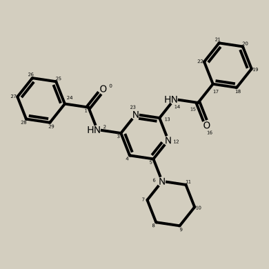 O=C(Nc1cc(N2CCCCC2)nc(NC(=O)c2ccccc2)n1)c1ccccc1